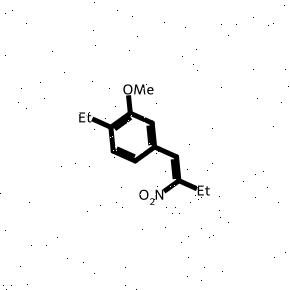 CCC(=Cc1ccc(CC)c(OC)c1)[N+](=O)[O-]